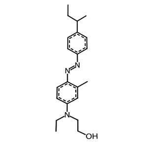 CCC(C)c1ccc(N=Nc2ccc(N(CC)CCO)cc2C)cc1